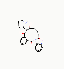 CN1CCCCC1C1C(=O)c2ccccc2C(=O)N(c2ccccc2N)C(=O)CCCC1O